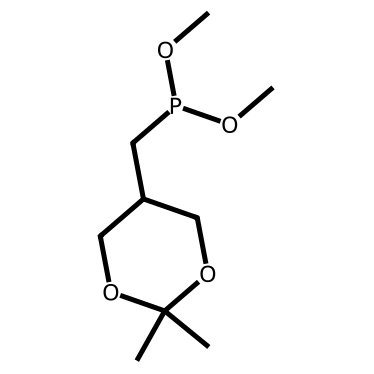 COP(CC1COC(C)(C)OC1)OC